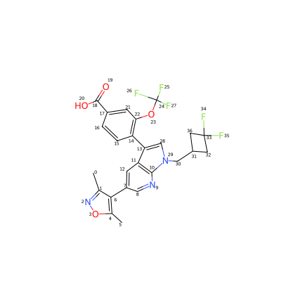 Cc1noc(C)c1-c1cnc2c(c1)c(-c1ccc(C(=O)O)cc1OC(F)(F)F)cn2CC1CC(F)(F)C1